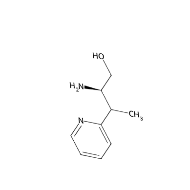 CC(c1ccccn1)[C@@H](N)CO